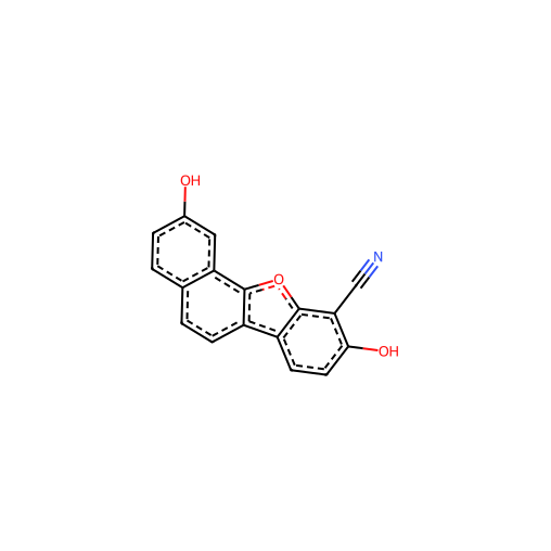 N#Cc1c(O)ccc2c1oc1c3cc(O)ccc3ccc21